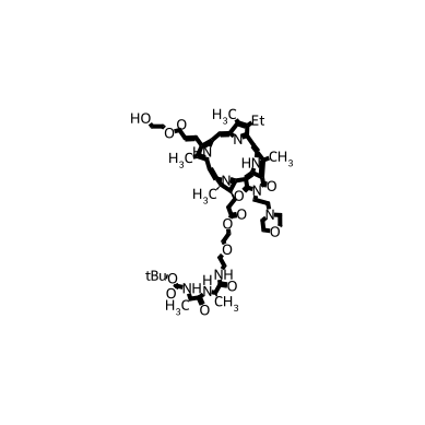 CCC1=C(C)c2cc3[nH]c(cc4nc(c5c6[nH]c(cc1n2)c(C)c6C(=O)N(CCN1CCOCC1)C5=O)[C@@H](CCC(=O)OCCOCCNC(=O)[C@H](C)NC(=O)[C@H](C)NC(=O)OC(C)(C)C)[C@@H]4C)c(C)c3/C=C/C(=O)OCCO